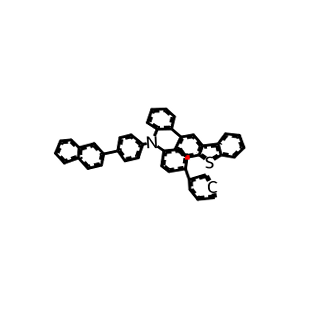 c1ccc(-c2ccc(N(c3ccc(-c4ccc5ccccc5c4)cc3)c3ccccc3-c3ccc4sc5ccccc5c4c3)cc2)cc1